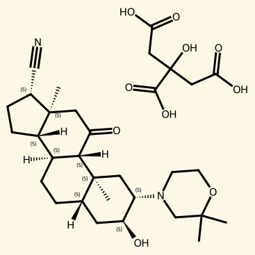 CC1(C)CN([C@H]2C[C@@]3(C)[C@@H](CC[C@H]4[C@@H]5CC[C@H](C#N)[C@@]5(C)CC(=O)[C@@H]43)C[C@@H]2O)CCO1.O=C(O)CC(O)(CC(=O)O)C(=O)O